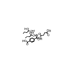 CCCC(O)O.CCCC(O)O.O=C(O)CCC(=O)O.O=C(O)c1ccc(C(=O)O)cc1